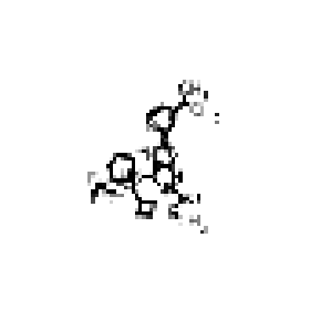 COC(=O)c1nc(N[C@H](C)C2CCC2)c2c(n1)nc(-c1cc(C(C)C)ccn1)n2C[C@H]1CC[C@H](C(F)(F)F)CC1